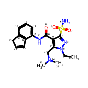 CCn1nc(S(N)(=O)=O)c(C(=O)Nc2cccc3c2C=CC3)c1CN(C)C